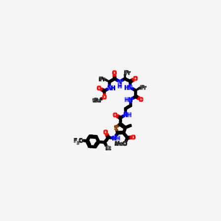 CCC(C(=O)Nc1sc(C(=O)NCCNC(=O)[C@@H](NC(=O)[C@@H](NC(=O)[C@@H](NC(=O)OC(C)(C)C)C(C)C)C(C)C)C(C)C)c(C)c1C(=O)OC)c1ccc(C(F)(F)F)cc1